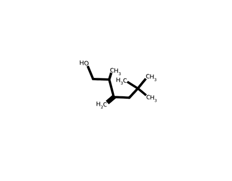 C=C(CC(C)(C)C)C(C)CO